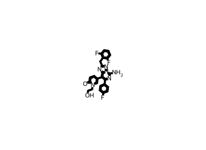 Nc1nc(-c2ccc(F)cc2)c(-c2ccc(=O)n(CCO)c2)c2nc(Cc3c(F)cccc3F)nn12